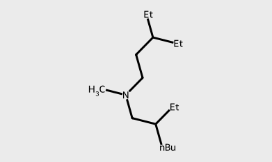 CCCCC(CC)CN(C)CCC(CC)CC